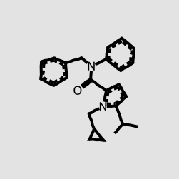 CC(C)c1ccc(C(=O)N(Cc2ccccc2)c2ccccc2)n1CC1CC1